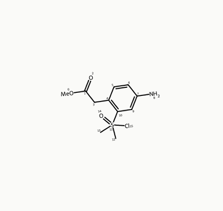 COC(=O)Cc1ccc(N)cc1S(C)(C)(=O)Cl